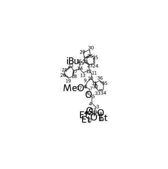 CCO[Si](CCCOCC(CC(CC(CC(CC(C)CC)c1ccccc1)c1ccc2c(c1)CC2)c1ccccc1)OC)(OCC)OCC